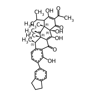 CC(=O)C1=C(O)C(C(C)C)[C@@]2(C)[C@H](C)[C@]3(C)C(=C(O)[C@@]2(O)C1=O)C(=O)c1c(ccc(-c2ccc4c(c2)CCC4)c1O)[C@H]3C